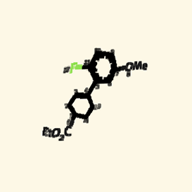 CCOC(=O)C1CC=C(c2cc(OC)ccc2F)CC1